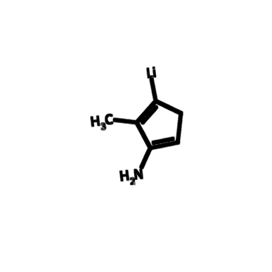 [Li][C]1=C(C)C(N)=CC1